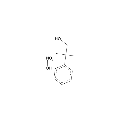 CC(C)(CO)c1ccccc1.O=[N+]([O-])O